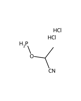 CC(C#N)OP.Cl.Cl